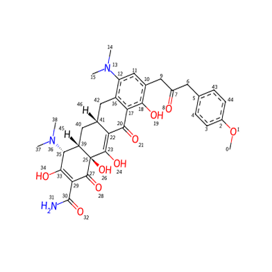 COc1ccc(CC(=O)Cc2cc(N(C)C)c3c(c2O)C(=O)C2=C(O)[C@]4(O)C(=O)C(C(N)=O)=C(O)[C@H](N(C)C)[C@@H]4C[C@@H]2C3)cc1